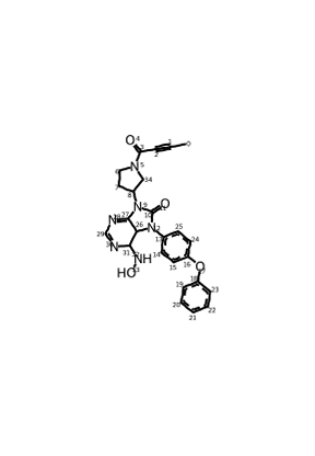 CC#CC(=O)N1CCC(N2C(=O)N(c3ccc(Oc4ccccc4)cc3)C3C2=NC=NC3NO)C1